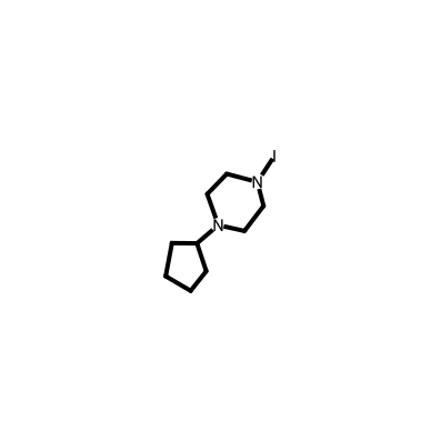 IN1CCN(C2CCCC2)CC1